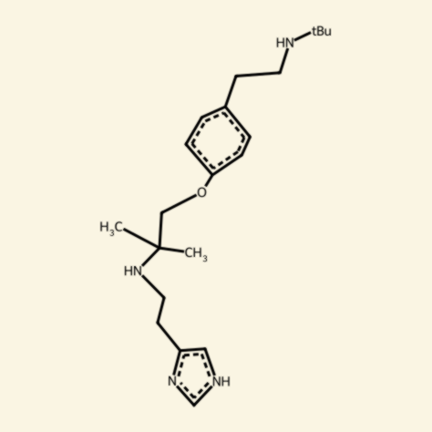 CC(C)(C)NCCc1ccc(OCC(C)(C)NCCc2c[nH]cn2)cc1